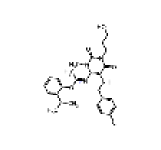 C/C(=N\c1c(NCc2ccc(Cl)cc2)c(=O)n(CCCO)c(=O)n1C)Oc1ccccc1C(C)C